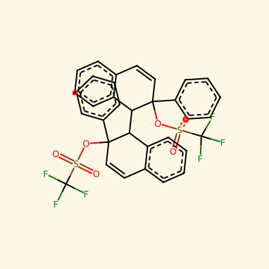 O=S(=O)(OC1(c2ccccc2)C=Cc2ccccc2C1C1c2ccccc2C=CC1(OS(=O)(=O)C(F)(F)F)c1ccccc1)C(F)(F)F